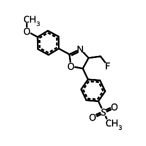 COc1ccc(C2=NC(CF)C(c3ccc(S(C)(=O)=O)cc3)O2)cc1